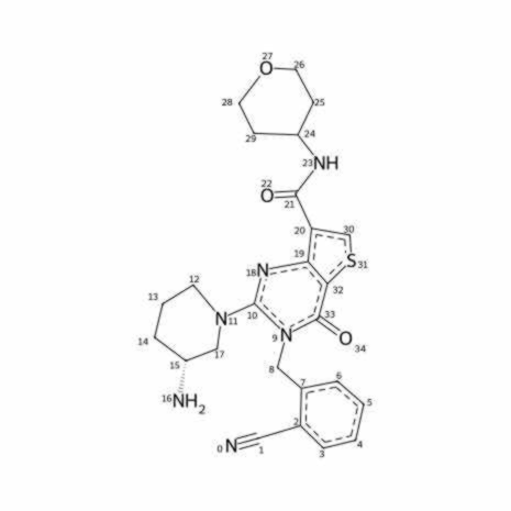 N#Cc1ccccc1Cn1c(N2CCC[C@@H](N)C2)nc2c(C(=O)NC3CCOCC3)csc2c1=O